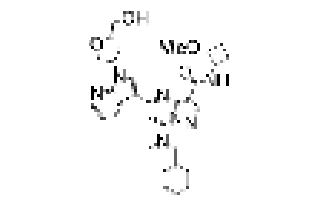 CO[C@@H]1CC[C@H]1NC(=O)c1cnn2c(N(C)Cc3ccccc3)cc(-c3cn([C@H]4CO[C@@H](CO)C4)c4ncccc34)nc12